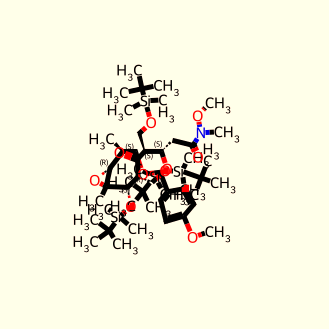 COc1ccc(COC[C@H](C)[C@H]2OC2(C)[C@@H](O[Si](C)(C)C(C)(C)C)[C@@H](CO[Si](C)(C)C(C)(C)C)C(=O)[C@@H](CO[Si](C)(C)C(C)(C)C)[C@H](CC(=O)N(C)OC)O[Si](C)(C)C(C)(C)C)cc1